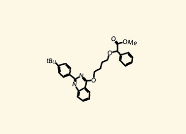 COC(=O)C(OCCCCOc1nc(-c2ccc(C(C)(C)C)cc2)nc2ccccc12)c1ccccc1